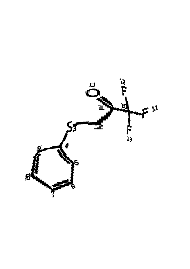 O=C(CSc1ccccc1)C(F)(F)F